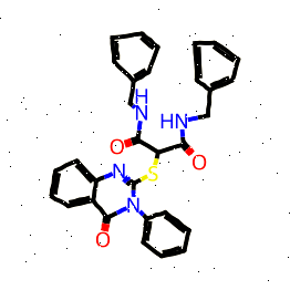 O=C(NCc1ccccc1)C(Sc1nc2ccccc2c(=O)n1-c1ccccc1)C(=O)NCc1ccccc1